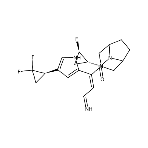 N=C/C=C(\c1cc([C@H]2CC2(F)F)c[nH]1)N1CC2CCC(C1)N2C(=O)[C@@H]1C[C@H]1F